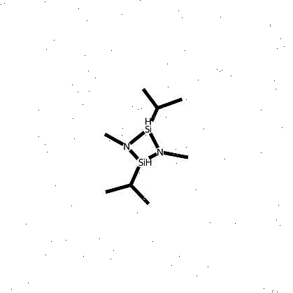 CC(C)[SiH]1N(C)[SiH](C(C)C)N1C